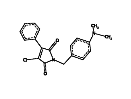 CN(C)c1ccc(CN2C(=O)C(Cl)=C(c3ccccc3)C2=O)cc1